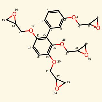 c1cc(OCC2CO2)cc(-c2c(OCC3CO3)ccc(OCC3CO3)c2OCC2CO2)c1